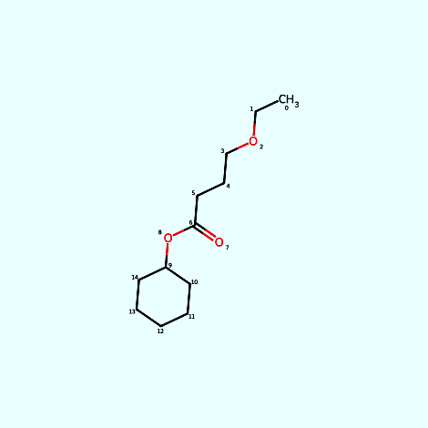 CCOCCCC(=O)OC1CCCCC1